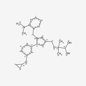 CN(C)c1ccccc1Cn1nc(COC(C)(C)C(O)O)cc1-c1cccc(OC2CC2)c1